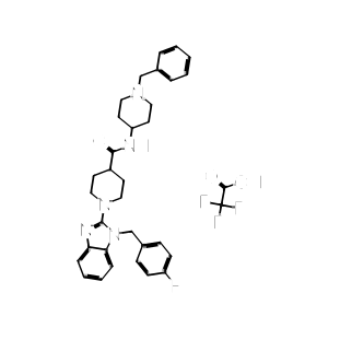 O=C(NC1CCN(Cc2ccccc2)CC1)C1CCN(c2nc3ccccc3n2Cc2ccc(F)cc2)CC1.O=C(O)C(F)(F)F